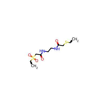 C=CSCC(=O)NCCNC(=O)CS(=O)(=O)C=C